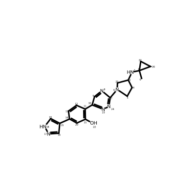 CC1(NC2CCN(c3ncc(-c4ccc(-c5cn[nH]c5)cc4O)nn3)C2)CC1